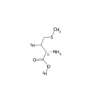 [2H]OC(=O)[C@@H](N)C([2H])CSC